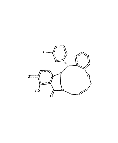 O=C1c2c(O)c(=O)ccn2N2CN1C/C=C\COc1ccccc1[C@H]2c1cccc(F)c1